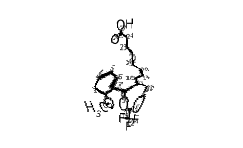 COc1ccccc1C1OC(C(F)(F)F)OCC1C/C=C\CCCCC(=O)O